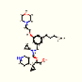 COCCCc1cc(CN(C(=O)[C@H]2CNCC[C@@H]2C2(CCO)C=C2)C2CC2)cc(OCCN2CCOCC2)c1